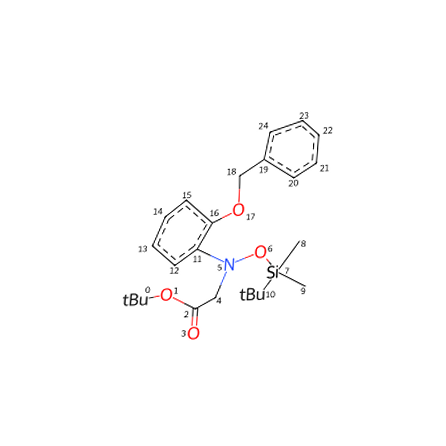 CC(C)(C)OC(=O)CN(O[Si](C)(C)C(C)(C)C)c1ccccc1OCc1ccccc1